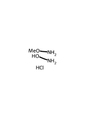 CON.Cl.NO